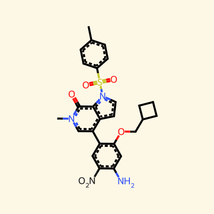 Cc1ccc(S(=O)(=O)n2ccc3c(-c4cc([N+](=O)[O-])c(N)cc4OCC4CCC4)cn(C)c(=O)c32)cc1